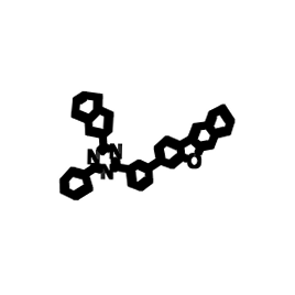 c1ccc(-c2nc(-c3cccc(-c4ccc5c(c4)oc4cc6ccccc6cc45)c3)nc(-c3ccc4ccccc4c3)n2)cc1